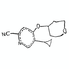 N#Cc1cc(OC2CCOCC2)c(C2CC2)cn1